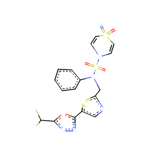 N=S1(=O)C=CN(S(=O)(=O)N(Cc2ncc(-c3nnc(C(F)F)o3)s2)c2ccccc2)C=C1